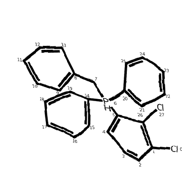 Clc1cccc([PH](Cc2ccccc2)(c2ccccc2)c2ccccc2)c1Cl